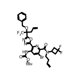 C=CCCN(C(=O)c1nc(-c2nnc(C(CC=C)(OCc3ccccc3)C(F)(F)F)o2)c(NC(=O)OC(C)(C)C)cc1Br)C1CC(F)(F)C1